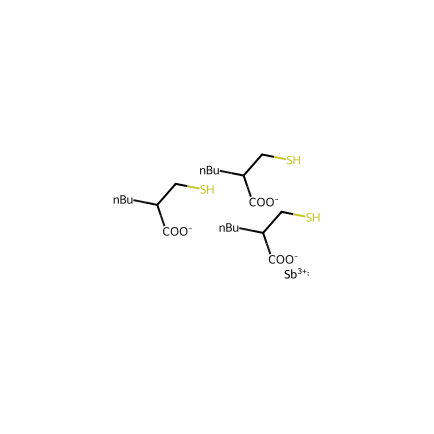 CCCCC(CS)C(=O)[O-].CCCCC(CS)C(=O)[O-].CCCCC(CS)C(=O)[O-].[Sb+3]